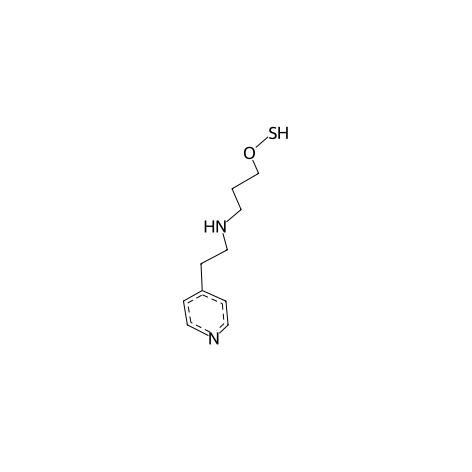 SOCCCNCCc1ccncc1